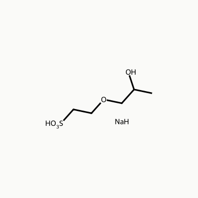 CC(O)COCCS(=O)(=O)O.[NaH]